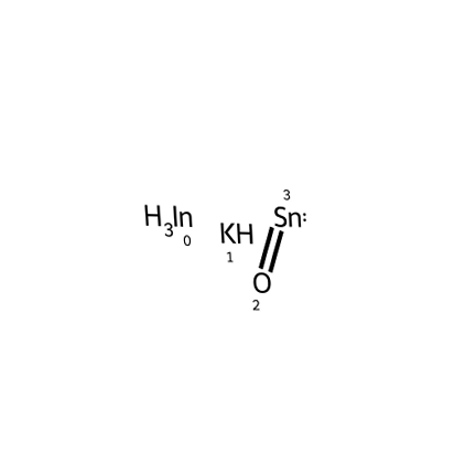 [InH3].[KH].[O]=[Sn]